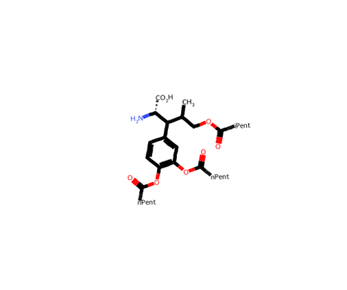 CCCCCC(=O)Oc1ccc(C(C(C)COC(=O)C(C)CCC)[C@H](N)C(=O)O)cc1OC(=O)CCCCC